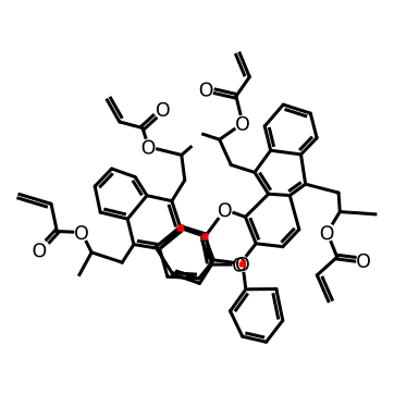 C=CC(=O)OC(C)Cc1c2ccccc2c(CC(C)OC(=O)C=C)c2c(Oc3c(Oc4ccccc4)ccc4c(CC(C)OC(=O)C=C)c5ccccc5c(CC(C)OC(=O)C=C)c34)c(Oc3ccccc3)ccc12